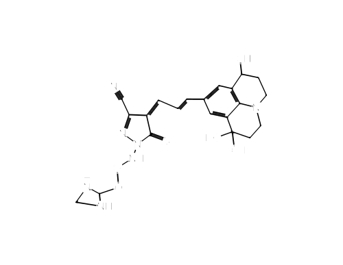 CC1CCN2CCC(C)(C)c3cc(/C=C/C=C4\C(=S)N(NOOC5NCN5)N=C4C#N)cc1c32